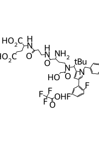 CC(C)(C)C(c1cc(-c2cc(F)ccc2F)cn1Cc1ccccc1)N(CCC(N)C(=O)NCCC(=O)NC(CCC(=O)O)C(=O)O)C(=O)CO.O=C(O)C(F)(F)F